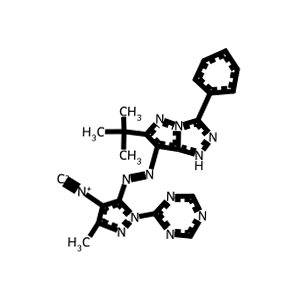 [C-]#[N+]c1c(C)nn(-c2ncncn2)c1/N=N/c1c(C(C)(C)C)nn2c(-c3ccccc3)n[nH]c12